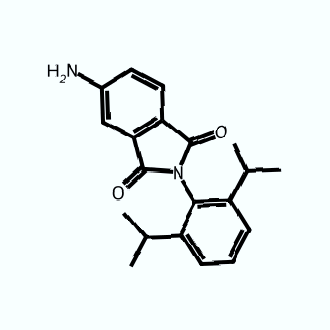 CC(C)c1cccc(C(C)C)c1N1C(=O)c2ccc(N)cc2C1=O